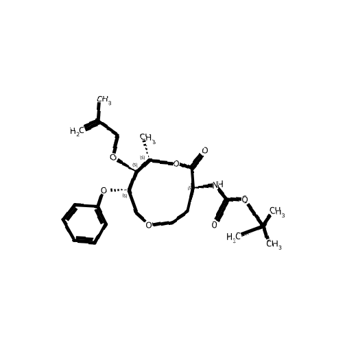 C=C(C)CO[C@H]1[C@H](C)OC(=O)[C@@H](NC(=O)OC(C)(C)C)CCOC[C@@H]1Oc1ccccc1